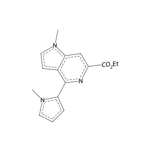 CCOC(=O)c1cc2c(ccn2C)c(-c2cccn2C)n1